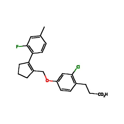 Cc1ccc(C2=C(COc3ccc(CCC(=O)O)c(Cl)c3)CCC2)c(F)c1